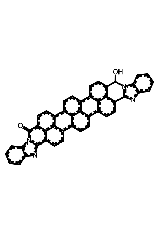 O=c1c2ccc3c4ccc5c6ccc7c8c(ccc(c9ccc(c%10ccc(c2c3%10)c2nc3ccccc3n12)c4c59)c86)-c1nc2ccccc2n1C7O